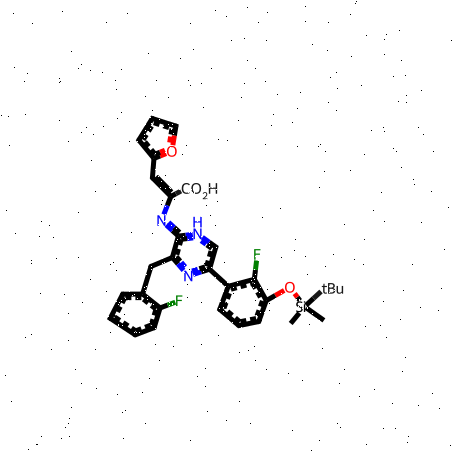 CC(C)(C)[Si](C)(C)Oc1cccc(-c2c[nH]/c(=N\C(=C\c3ccco3)C(=O)O)c(Cc3ccccc3F)n2)c1F